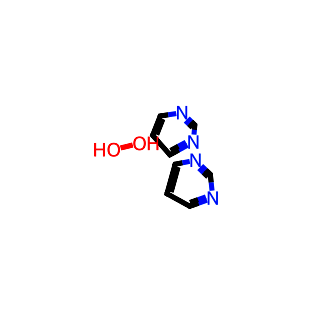 OO.c1cncnc1.c1cncnc1